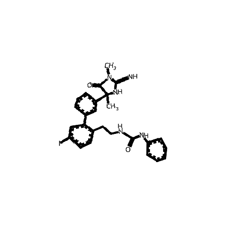 CN1C(=N)NC(C)(c2cccc(-c3cc(I)ccc3CCNC(=O)Nc3ccccc3)c2)C1=O